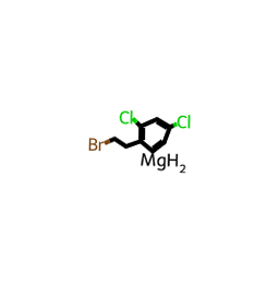 Clc1ccc(CCBr)c(Cl)c1.[MgH2]